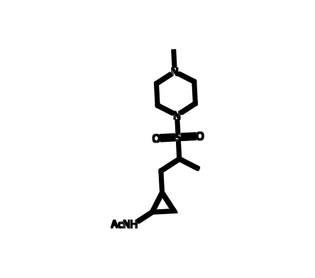 CC(=O)NC1CC1CC(C)S(=O)(=O)N1CCN(C)CC1